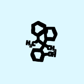 CC(c1ccccc1)C(C)(c1ccccc1)c1ccccc1O